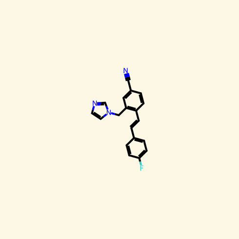 N#Cc1ccc(C=Cc2ccc(F)cc2)c(Cn2ccnc2)c1